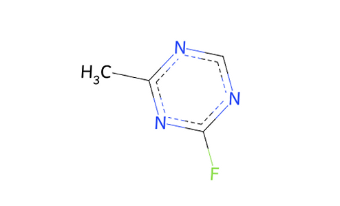 Cc1ncnc(F)n1